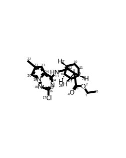 CCOC(=O)[C@H]1[C@H]2CC[C@H](CC2)[C@@H]1Nc1nc(Cl)nn2cc(C)cc12